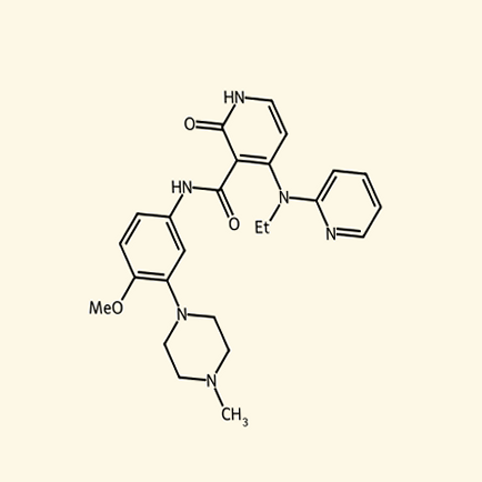 CCN(c1ccccn1)c1cc[nH]c(=O)c1C(=O)Nc1ccc(OC)c(N2CCN(C)CC2)c1